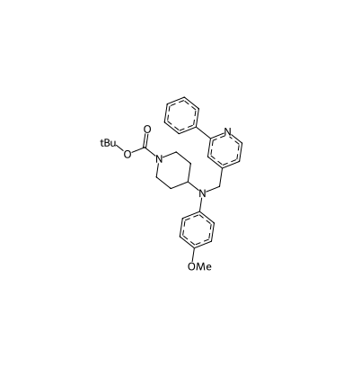 COc1ccc(N(Cc2ccnc(-c3ccccc3)c2)C2CCN(C(=O)OC(C)(C)C)CC2)cc1